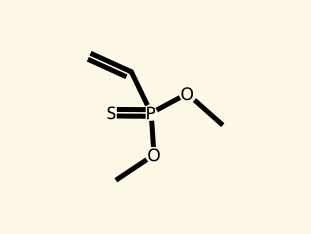 C=CP(=S)(OC)OC